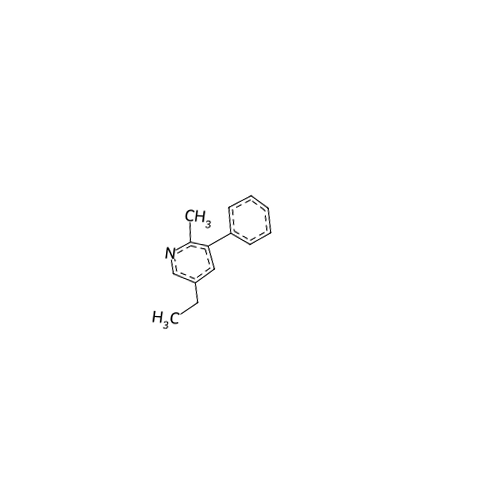 CCc1cnc(C)c(-c2ccccc2)c1